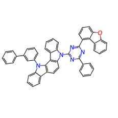 c1ccc(-c2cccc(-n3c4ccccc4c4ccc5c(c6ccccc6n5-c5nc(-c6ccccc6)nc(-c6cccc7oc8ccccc8c67)n5)c43)c2)cc1